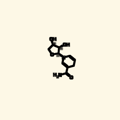 NC(=O)C1=CN([C@H]2OC[C@@H](O)[C@H]2O)C=CC1